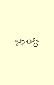 O=C(O)c1ncc(N2CCN(C(=O)c3ccccc3C(F)(F)F)CC2)cn1